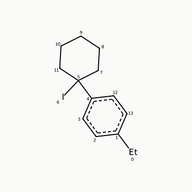 CCc1ccc(C2(I)CCCCC2)cc1